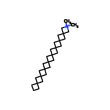 C[N+]1(C)CC2(CC3(CC4(CC5(CC6(CC7(CC8(CC9(CCC9)C8)C7)C6)C5)C4)C3)C2)C1